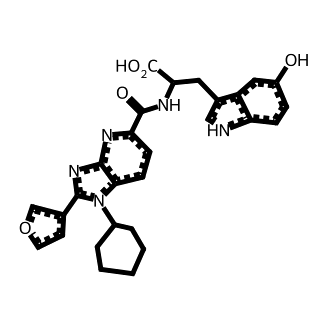 O=C(NC(Cc1c[nH]c2ccc(O)cc12)C(=O)O)c1ccc2c(n1)nc(-c1ccoc1)n2C1CCCCC1